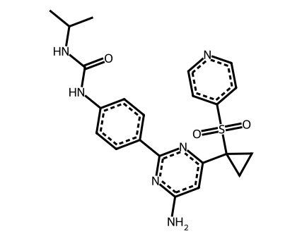 CC(C)NC(=O)Nc1ccc(-c2nc(N)cc(C3(S(=O)(=O)c4ccncc4)CC3)n2)cc1